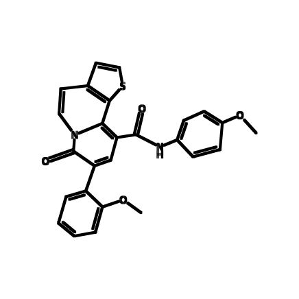 COc1ccc(NC(=O)c2cc(-c3ccccc3OC)c(=O)n3ccc4ccsc4c23)cc1